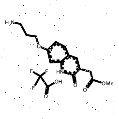 COC(=O)Cc1cc2ccc(OCCCN)cc2[nH]c1=O.O=C(O)C(F)(F)F